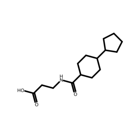 O=C(O)CCNC(=O)C1CCC(C2CCCC2)CC1